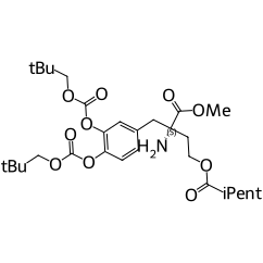 CCCC(C)C(=O)OCC[C@@](N)(Cc1ccc(OC(=O)OCC(C)(C)C)c(OC(=O)OCC(C)(C)C)c1)C(=O)OC